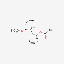 CCOC(=O)Oc1ccccc1-c1ccccc1OC(=O)C(C)(C)C